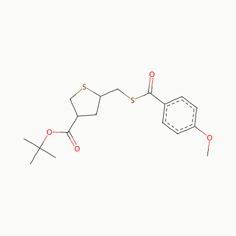 COc1ccc(C(=O)SCC2CC(C(=O)OC(C)(C)C)CS2)cc1